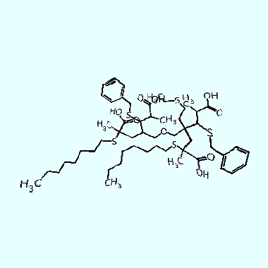 CCCCCCCCSC(C)(CC(COCC(CCSCC)(CC(C)(SCCCCCCCC)C(=O)O)C(SCc1ccccc1)C(C)C(=O)O)C(SCc1ccccc1)C(C)C(=O)O)C(=O)O